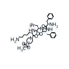 CC(C)C[C@@H](NC(=O)[C@@H](Cc1ccccc1)NC(=O)[C@H](N)Cc1ccccc1)C(=O)N[C@H](CCCCCN)C(=O)N1CCN(S(C)(=O)=O)CC1